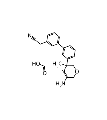 CC1(c2cccc(-c3cccc(CC#N)c3)c2)COCC(N)=N1.O=CO